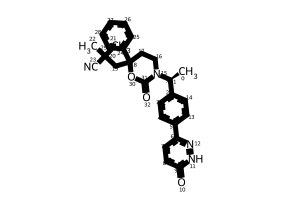 C[C@@H](c1ccc(-c2ccc(=O)[nH]n2)cc1)N1CCC(CC(C)(C)C#N)(c2ccccc2)OC1=O